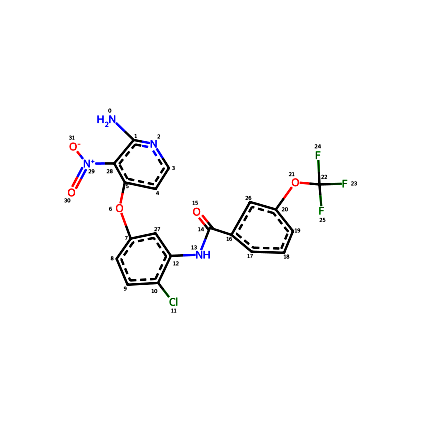 Nc1nccc(Oc2ccc(Cl)c(NC(=O)c3cccc(OC(F)(F)F)c3)c2)c1[N+](=O)[O-]